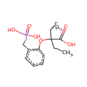 CCC(CC)(Oc1ccccc1CP(=O)(O)O)C(=O)O